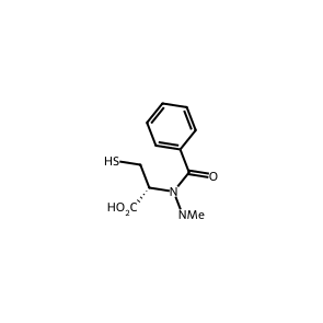 CNN(C(=O)c1ccccc1)[C@@H](CS)C(=O)O